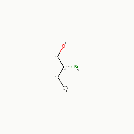 N#CC[C@@H](Br)CO